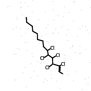 CC=C(Cl)C(Cl)C(Cl)C(Cl)C(Cl)CCCCCCCC